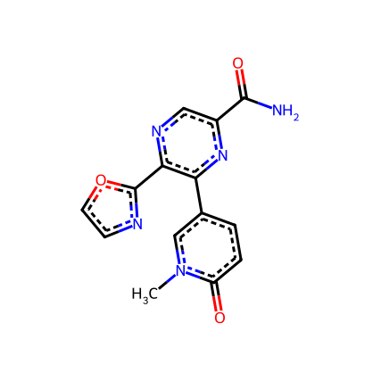 Cn1cc(-c2nc(C(N)=O)cnc2-c2ncco2)ccc1=O